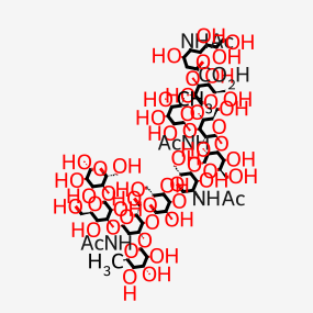 CC(=O)N[C@H]1[C@H](O[C@H]2[C@@H](O)[C@@H](CO)O[C@@H](O[C@H]3[C@H](O[C@@H]4O[C@@H](C)[C@@H](O)[C@@H](O)[C@@H]4O)[C@@H](NC(C)=O)[C@H](O[C@H]4[C@@H](O)[C@@H](CO)O[C@@H](O[C@H]5[C@H](O)[C@@H](O)[C@H](O)O[C@@H]5CO)[C@@H]4O)O[C@@H]3CO)[C@@H]2O)O[C@H](CO)[C@@H](O[C@@H]2O[C@H](CO)[C@H](O)[C@H](O[C@@H]3O[C@H](CO)[C@@H](O[C@@H]4O[C@H](CO)[C@H](O)[C@H](O[C@]5(C(=O)O)C[C@H](O)[C@@H](NC(C)=O)[C@H]([C@H](O)[C@H](O)CO)O5)[C@H]4O)[C@H](O[C@@H]4O[C@@H](C)[C@@H](O)[C@@H](O)[C@@H]4O)[C@H]3NC(C)=O)[C@H]2O)[C@@H]1O